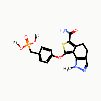 CCOP(=O)(Cc1ccc(Oc2sc(C(N)=O)c3c2-c2c(cnn2C)CC3)cc1)OCC